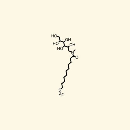 CC(=O)SCCCCCCCCCCC(=O)N(C)CC(O)C(O)C(O)C(O)CO